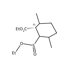 CCOC(=O)[C@@H]1C(C)CCC(C)C1S(=O)OCC